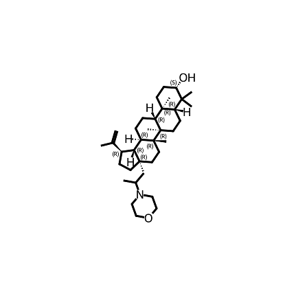 C=C(C)[C@@H]1CC[C@]2(CC(C)N3CCOCC3)CC[C@]3(C)[C@H](CC[C@@H]4[C@@]5(C)CC[C@H](O)C(C)(C)[C@@H]5CC[C@]43C)[C@@H]12